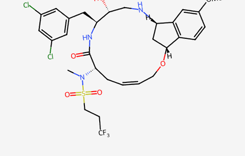 COc1ccc2c(c1)[C@@H]1C[C@H]2OCC=CC[C@H](N(C)S(=O)(=O)CCC(F)(F)F)C(=O)N[C@@H](Cc2cc(Cl)cc(Cl)c2)[C@H](O)CN1